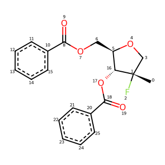 C[C@]1(F)CO[C@H](COC(=O)c2ccccc2)[C@H]1OC(=O)c1ccccc1